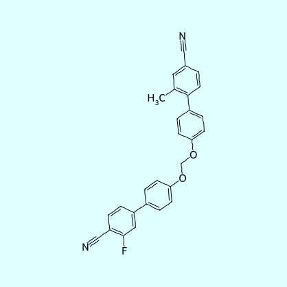 Cc1cc(C#N)ccc1-c1ccc(OCOc2ccc(-c3ccc(C#N)c(F)c3)cc2)cc1